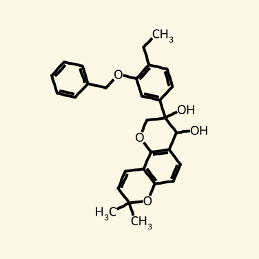 CCc1ccc(C2(O)COc3c(ccc4c3C=CC(C)(C)O4)C2O)cc1OCc1ccccc1